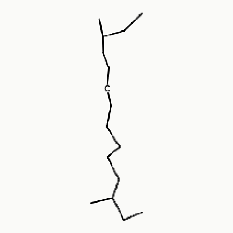 CCC(C)CCCCCCCCC(C)CC